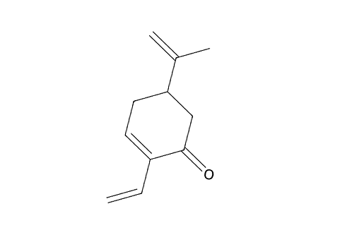 C=CC1=CCC(C(=C)C)CC1=O